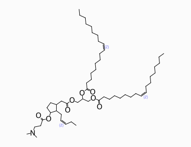 CC/C=C\CC1C(CC(=O)OCC(COC(=O)CCCCCCC/C=C\CCCCCCCC)OC(=O)CCCCCCC/C=C\CCCCCCCC)CCC1OC(=O)CCN(C)C